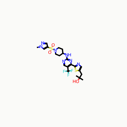 Cn1cc(S(=O)(=O)N2CCC(Nc3ncc(C(F)(F)F)c(-c4ncc(CC(C)(C)O)s4)n3)CC2)cn1